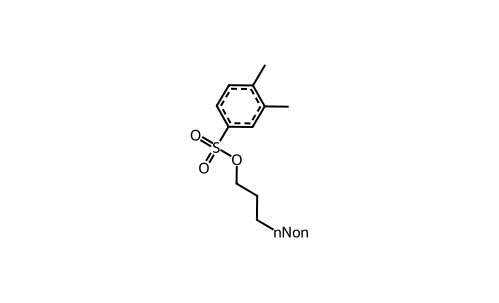 CCCCCCCCCCCCOS(=O)(=O)c1ccc(C)c(C)c1